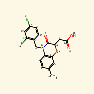 Cc1ccc2c(c1)SC(CC(=O)O)C(=O)N2Cc1ccc(Br)cc1F